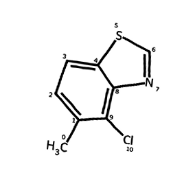 Cc1ccc2scnc2c1Cl